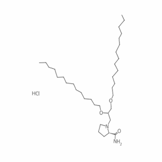 CCCCCCCCCCCCCCOCC(CN1CCC[C@@H]1C(N)=O)OCCCCCCCCCCCCCC.Cl